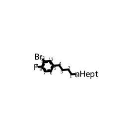 CCCCCCCCCCCc1ccc(F)c(Br)c1